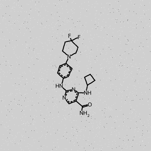 NC(=O)c1cnc(Nc2ccc(N3CCC(F)(F)CC3)cc2)nc1NC1CCC1